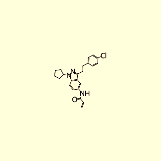 C=CC(=O)Nc1ccc2c(c1)c(/C=C/c1ccc(Cl)cc1)nn2C1CCCC1